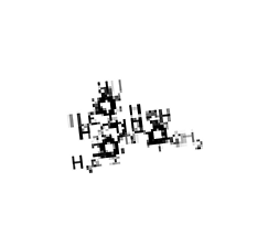 C/C(=N\C(=N/C(=N)c1ccc(C)cc1O)c1ccc(C)cc1)c1ccc(O)cc1C